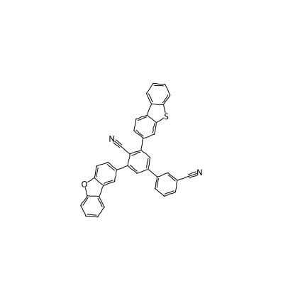 N#Cc1cccc(-c2cc(-c3ccc4c(c3)sc3ccccc34)c(C#N)c(-c3ccc4oc5ccccc5c4c3)c2)c1